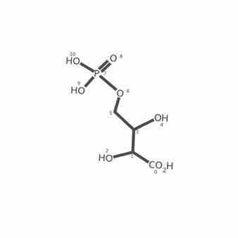 O=C(O)C(O)C(O)COP(=O)(O)O